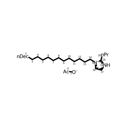 CC(=O)[O-].CCCCCCCCCCCCCCCCCCCCCC[n+]1cc[nH]c1CCC